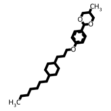 CCCCCCCC1CCC(CCCOc2ccc(C3OCC(C)CO3)cc2)CC1